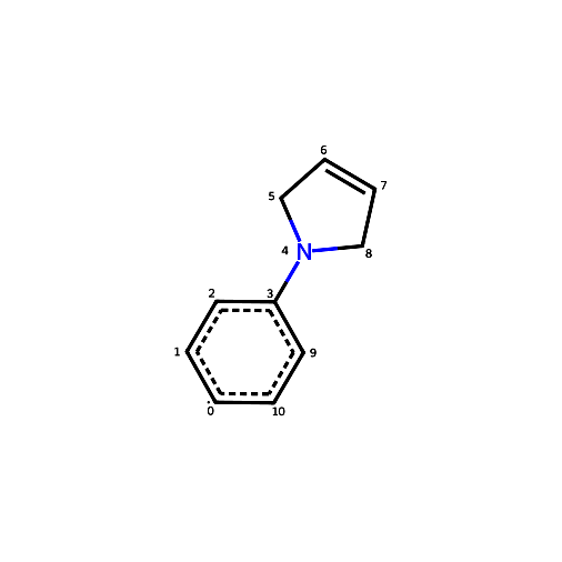 [c]1ccc(N2CC=CC2)cc1